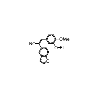 CCOc1cc(/C=C(/C#N)c2ccc3occc3c2)ccc1OC